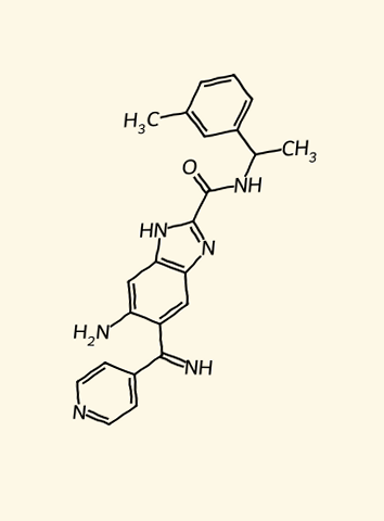 Cc1cccc(C(C)NC(=O)c2nc3cc(C(=N)c4ccncc4)c(N)cc3[nH]2)c1